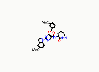 COc1cccc(COc2nc(N3CCc4cc(OC)ccc43)ncc2C(=O)NC2CCCCNC2=O)c1